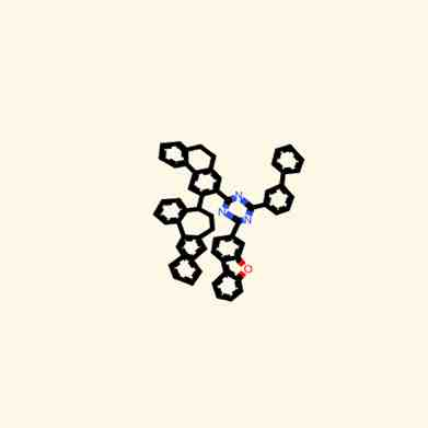 c1ccc(-c2cccc(-c3nc(-c4ccc5c(c4)oc4ccccc45)nc(-c4cc5c(cc4C4CCc6cc7ccccc7cc6-c6ccccc64)-c4ccccc4CC5)n3)c2)cc1